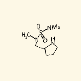 CNS(=O)(=O)N(C)CC1CCCN1